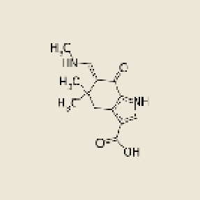 CN/C=C1/C(=O)c2[nH]cc(C(=O)O)c2CC1(C)C